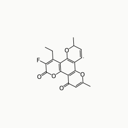 CCc1c(F)c(=O)oc2c1c1c(c3oc(C)cc(=O)c32)[C]=CC(C)O1